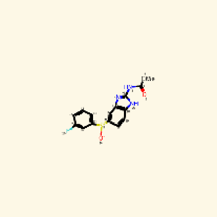 COC(=O)Nc1nc2cc([S+]([O-])c3cccc(F)c3)ccc2[nH]1